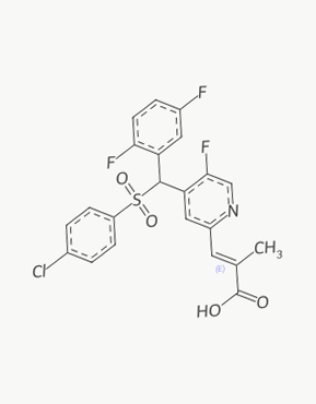 C/C(=C\c1cc(C(c2cc(F)ccc2F)S(=O)(=O)c2ccc(Cl)cc2)c(F)cn1)C(=O)O